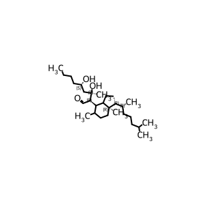 CCCC[C@H](O)C[C@@](C)(O)[C@H](C=O)C1C(C)CC[C@@]2(C)C1CC[C@@H]2[C@H](C)CCCC(C)C